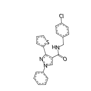 O=C(NCc1ccc(Cl)cc1)c1cn(-c2ccccc2)nc1-c1cccs1